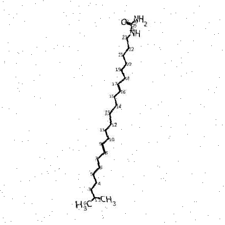 CC(C)CCCCCCCCCCCCCCCCCCCCCNC(N)=O